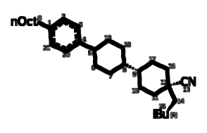 CCCCCCCCc1ccc(C2CCC([C@H]3CC[C@](C#N)(C[C@H](C)CC)CC3)CC2)cc1